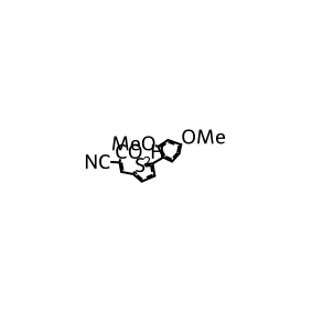 COc1ccc(-c2ccc(C=C(C#N)C(=O)O)s2)c(OC)c1